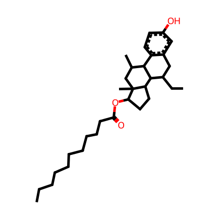 CCCCCCCCCCC(=O)OC1CCC2C3C(CC)Cc4cc(O)ccc4C3C(C)CC12C